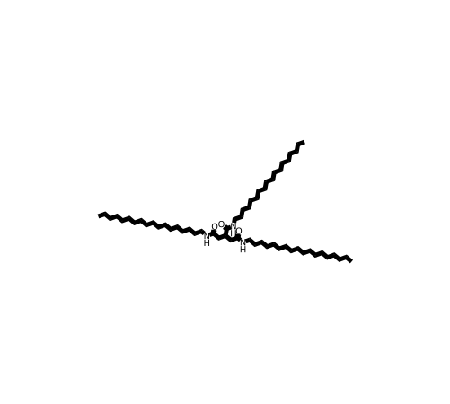 CCCCCCCCCCCCCCCCCCNC(=O)CC(CC(=O)NCCCCCCCCCCCCCCCCCC)C(=O)NCCCCCCCCCCCCCCCCCC